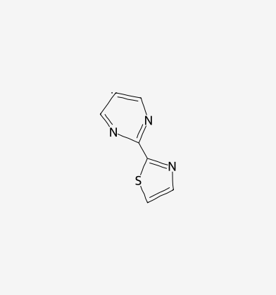 [c]1cnc(-c2nccs2)nc1